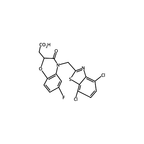 O=C(O)CC1Oc2ccc(F)cc2N(Cc2nc3c(Cl)ccc(Cl)c3s2)C1=O